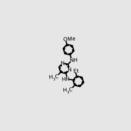 CCc1cccc(C)c1Nc1nc(Nc2ccc(OC)cc2)ncc1C